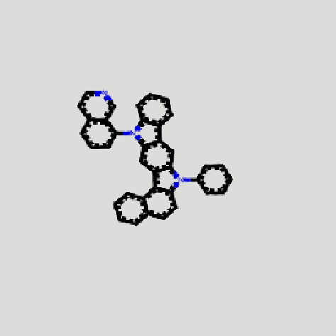 c1ccc(-n2c3cc4c5ccccc5n(-c5cccc6ccncc56)c4cc3c3c4ccccc4ccc32)cc1